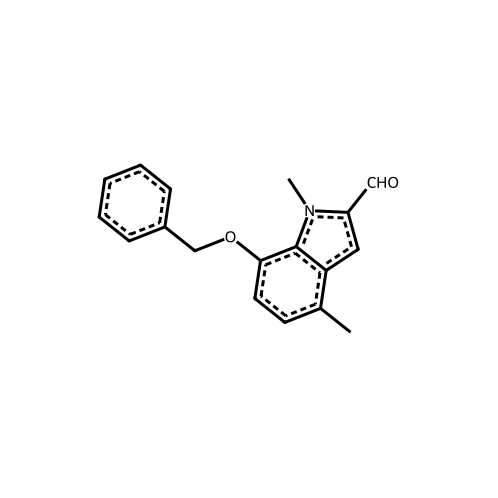 Cc1ccc(OCc2ccccc2)c2c1cc(C=O)n2C